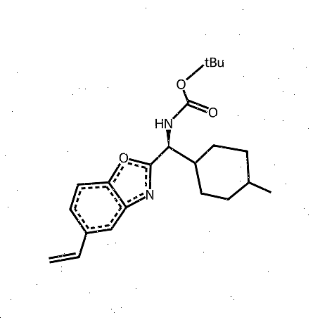 C=Cc1ccc2oc([C@@H](NC(=O)OC(C)(C)C)C3CCC(C)CC3)nc2c1